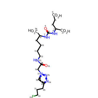 O=C(O)CCC(NC(=O)NC(CCCCNC(=O)Cn1cc(CCCF)nn1)C(=O)O)C(=O)O